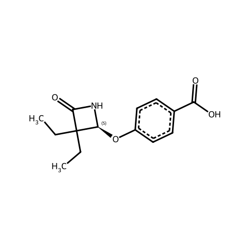 CCC1(CC)C(=O)N[C@H]1Oc1ccc(C(=O)O)cc1